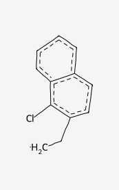 [CH2]Cc1ccc2ccccc2c1Cl